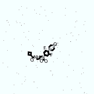 O=C(NCC1CN(c2cc(F)c(N3CC[S+]([O-])CC3)c(F)c2)C(=O)O1)C1CCC1